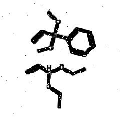 C=C[SiH](OCC)OCC.C=C[Si](OC)(OC)c1ccccc1